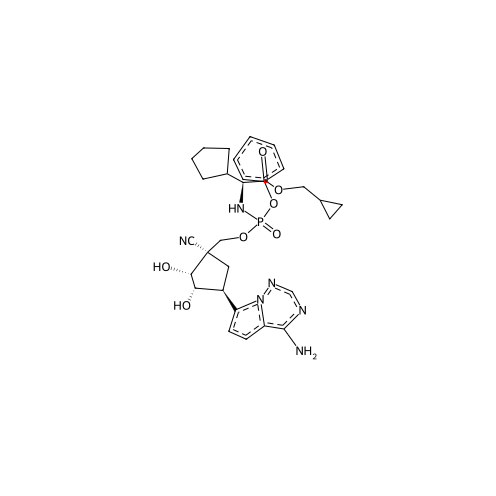 N#C[C@]1(COP(=O)(N[C@H](C(=O)OCC2CC2)C2CCCC2)Oc2ccccc2)C[C@@H](c2ccc3c(N)ncnn23)[C@H](O)[C@@H]1O